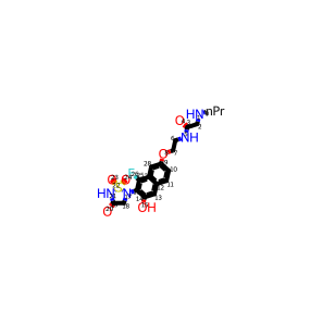 CCCNCC(=O)NCCOc1ccc2cc(O)c(N3CC(=O)NS3(=O)=O)c(F)c2c1